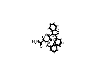 NC(=O)C(=O)[C@H](Cc1ccccc1)NC(=O)c1c(-c2ccccc2)oc2ccccc12